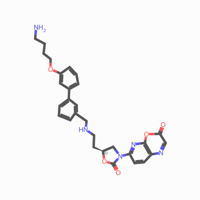 NCCCCOc1cccc(-c2cccc(CNCC[C@H]3CN(c4ccc5ncc(=O)oc5n4)C(=O)O3)c2)c1